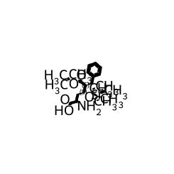 CC(C)(C)OC(=O)[C@@H](Cc1ccccc1)[C@H](CC(N)C(=O)O)O[Si](C)(C)C(C)(C)C